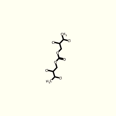 CC(Cl)C(Cl)COC(=O)OCC(Cl)C(C)Cl